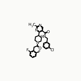 Cc1ncc(C(=O)NCc2cccc(Cl)c2)c(C2CCN(C(=O)Cc3c(F)cccc3F)CC2)n1